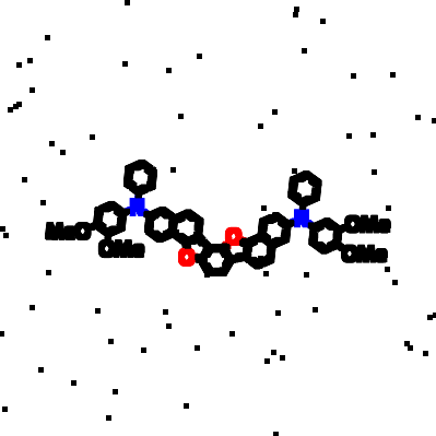 COc1ccc(N(c2ccccc2)c2ccc3c(ccc4c5ccc6oc7c8ccc(N(c9ccccc9)c9ccc(OC)c(OC)c9)cc8ccc7c6c5oc34)c2)cc1OC